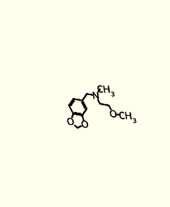 COCCN(C)Cc1ccc2c(c1)OCO2